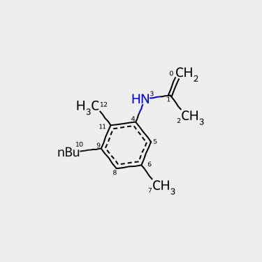 C=C(C)Nc1cc(C)cc(CCCC)c1C